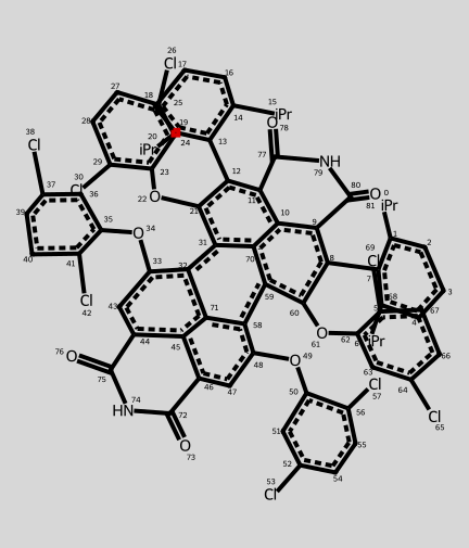 CC(C)c1cccc(C(C)C)c1-c1c2c3c(c(-c4c(C(C)C)cccc4C(C)C)c(Oc4cc(Cl)ccc4Cl)c4c5c(Oc6cc(Cl)ccc6Cl)cc6c7c(cc(Oc8cc(Cl)ccc8Cl)c(c(c1Oc1cc(Cl)ccc1Cl)c34)c75)C(=O)NC6=O)C(=O)NC2=O